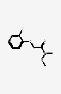 CON(C)C(=O)COc1ccccc1F